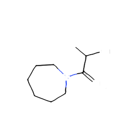 C=C(C(C)C)N1CCCCCC1